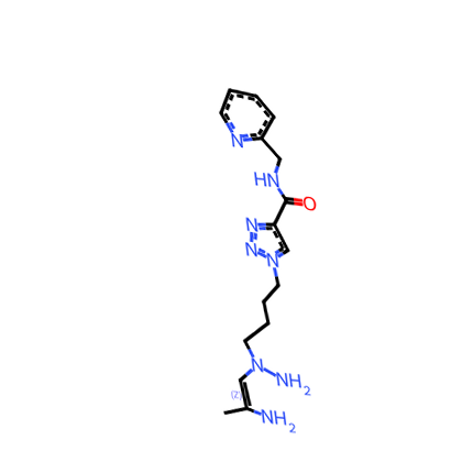 C/C(N)=C/N(N)CCCCn1cc(C(=O)NCc2ccccn2)nn1